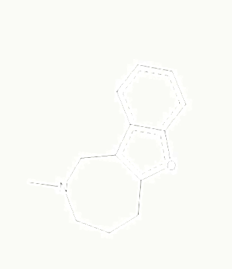 CN1CCCc2oc3ccccc3c2C1